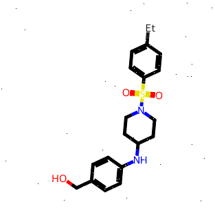 CCc1ccc(S(=O)(=O)N2CCC(Nc3ccc(CO)cc3)CC2)cc1